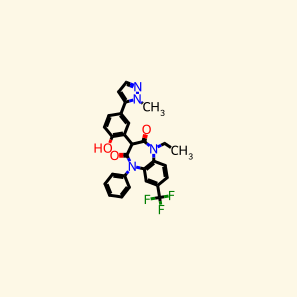 CCN1C(=O)C(c2cc(-c3ccnn3C)ccc2O)C(=O)N(c2ccccc2)c2cc(C(F)(F)F)ccc21